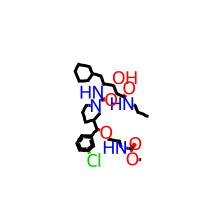 CCCNC(=O)CC(O)C(CC1CCCCC1)NC(=O)N1CCCC(C(OCCNC(=O)OC)c2cccc(Cl)c2)C1